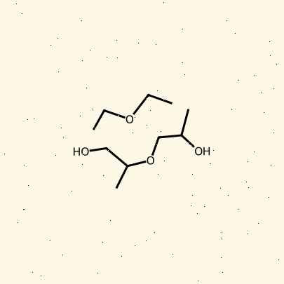 CC(O)COC(C)CO.CCOCC